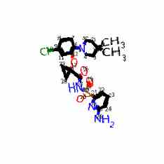 CC1(C)CCN(c2ccc(Cl)cc2OC2(C(=O)NS(=O)(=O)c3cccc(N)n3)CC2)CC1